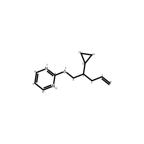 C=CCC(CSc1ncccn1)C1CC1